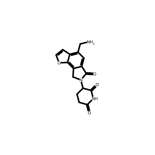 NCc1cc2c(c3occc13)CN(C1CCC(=O)NC1=O)C2=O